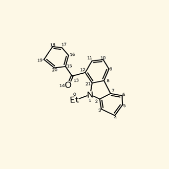 CCn1c2ccccc2c2cccc(C(=O)c3ccccc3)c21